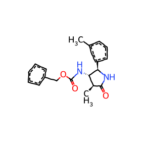 Cc1cccc([C@H]2NC(=O)[C@@H](C)[C@@H]2NC(=O)OCc2ccccc2)c1